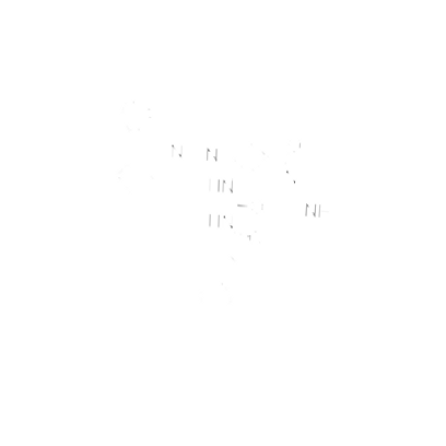 O=C(C=Cc1ccccc1)NC(=O)Nc1cc(C(=O)N2CCNCC2)ccc1N1CCN(C(c2ccccc2)c2ccccc2)CC1